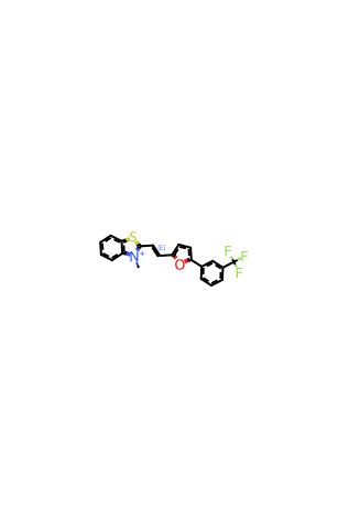 C[n+]1c(/C=C/c2ccc(-c3cccc(C(F)(F)F)c3)o2)sc2ccccc21